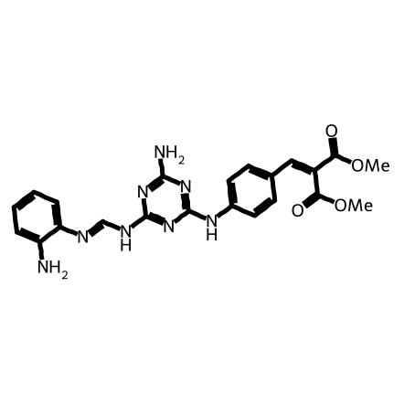 COC(=O)C(=Cc1ccc(Nc2nc(N)nc(N/C=N/c3ccccc3N)n2)cc1)C(=O)OC